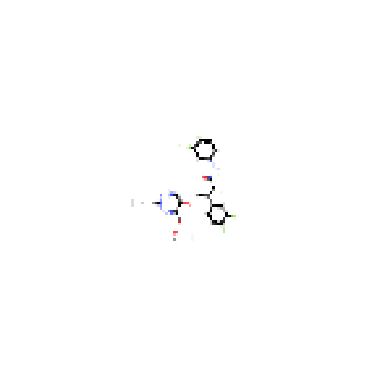 COCc1nc(C)ncc1OCC(c1ccc(F)c(F)c1)[C@@H](C)C(=O)Nc1ccc(F)c(F)c1